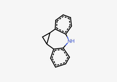 c1ccc2c(c1)Nc1ccccc1C1CC21